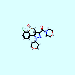 O=C(c1nn(C2CCOCC2)c2c1C[S+]([O-])c1c(F)cccc1-2)N1CCOCC1